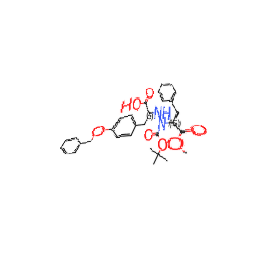 COC(=O)[C@H](Cc1ccccc1)N(N[C@@H](Cc1ccc(OCc2ccccc2)cc1)C(=O)O)C(=O)OC(C)(C)C